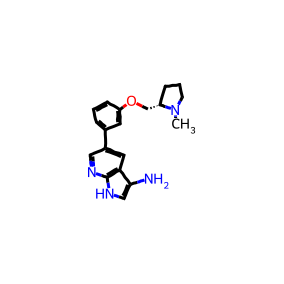 CN1CCC[C@H]1COc1cccc(-c2cnc3[nH]cc(N)c3c2)c1